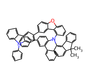 CC1(C)c2ccccc2-c2c(N(c3ccc(-c4ccccc4)cc3-c3ccccc3)c3cccc4oc5ccc(-c6ccc7c(c6)c6ccccc6n7-c6ccccc6)cc5c34)cccc21